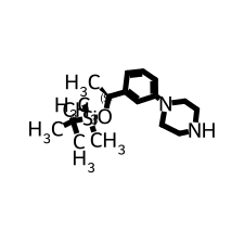 C[C@H](O[Si](C)(C)C(C)(C)C)c1cccc(N2CCNCC2)c1